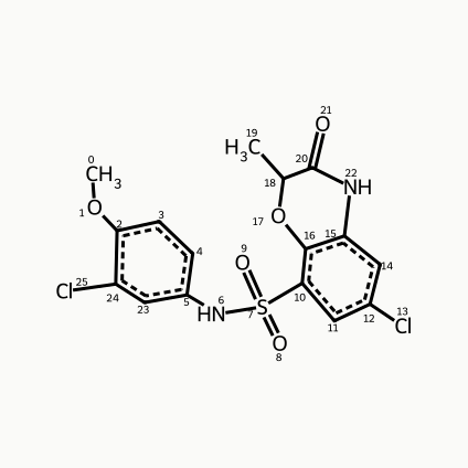 COc1ccc(NS(=O)(=O)c2cc(Cl)cc3c2OC(C)C(=O)N3)cc1Cl